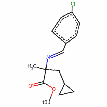 CC(C)(C)OC(=O)C(C)(CC1CC1)/N=C/c1ccc(Cl)cc1